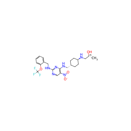 C[C@@H](O)CN[C@H]1CC[C@H](CNc2nc(NCc3ccccc3OC(F)(F)F)ncc2[N+](=O)[O-])CC1